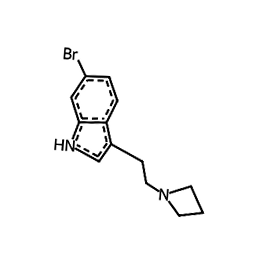 Brc1ccc2c(CCN3CCC3)c[nH]c2c1